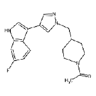 CC(=O)N1CCC(Cn2cc(-c3c[nH]c4cc(F)ccc34)cn2)CC1